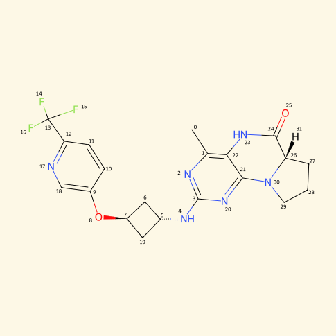 Cc1nc(N[C@H]2C[C@H](Oc3ccc(C(F)(F)F)nc3)C2)nc2c1NC(=O)[C@@H]1CCCN21